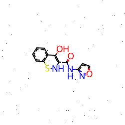 O=C(Nc1ccon1)C1=C(O)c2ccccc2SN1